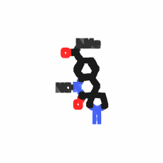 CNC(=O)c1ccc2c(c1)N(C#N)C(=O)C1(CCNC1)C2